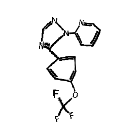 FC(F)(F)Oc1ccc(-c2ncnn2-c2ccccn2)cc1